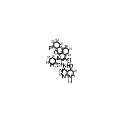 C[C@H](Nc1ncnc2[nH]ccc(=O)c12)c1c(Cl)c2cccc(-c3cccc(F)c3)c2c(=O)n1-c1ccccc1